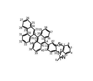 Cc1nc2cccc3c2n1-c1ccc(-c2c4ccccc4c(-c4cc5ccccc5c5ccccc45)c4ccccc24)cc1S3